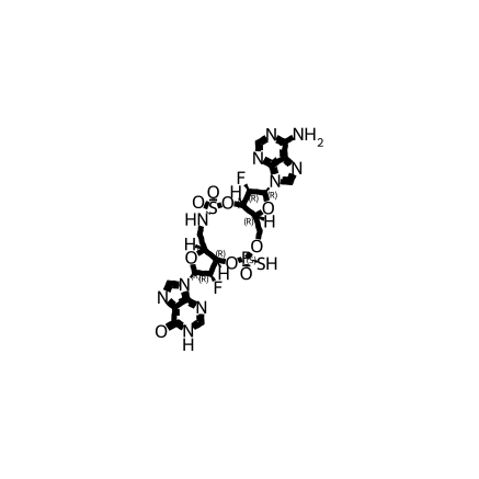 Nc1ncnc2c1ncn2[C@@H]1O[C@@H]2CO[P@](=O)(S)O[C@H]3[C@@H](F)[C@H](n4cnc5c(=O)[nH]cnc54)O[C@@H]3CNS(=O)(=O)O[C@H]2[C@H]1F